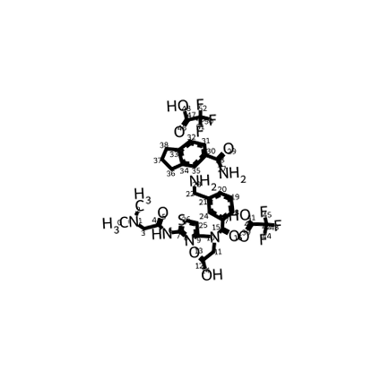 CN(C)CC(=O)Nc1nc(N(CC(=O)O)C(=O)c2cccc(CN)c2)cs1.NC(=O)c1ccc2c(c1)CCC2.O=C(O)C(F)(F)F.O=C(O)C(F)(F)F